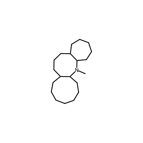 CN1C2CCCCCCCC2CCCC2CCCCCC21